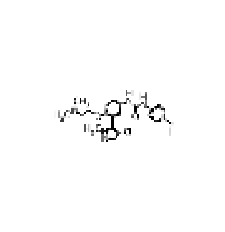 CN(C)CCOc1ccc(NC(=O)Nc2ccc(CI)cc2)cc1-c1c(Cl)cnn1C